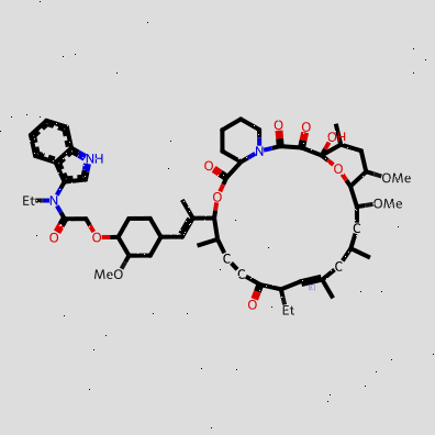 CCC1/C=C(\C)CC(C)CC(OC)C2OC(O)(C(=O)C(=O)N3CCCCC3C(=O)OC(C(C)=CC3CCC(OCC(=O)N(CC)c4c[nH]c5ccccc45)C(OC)C3)C(C)CCC1=O)C(C)CC2OC